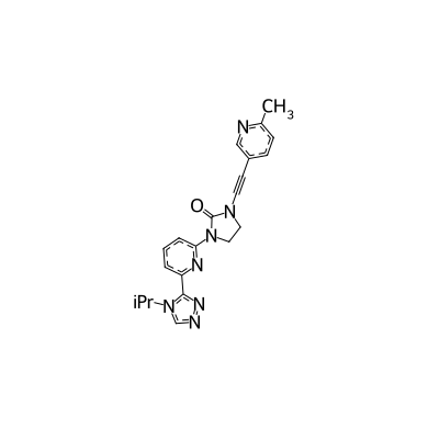 Cc1ccc(C#CN2CCN(c3cccc(-c4nncn4C(C)C)n3)C2=O)cn1